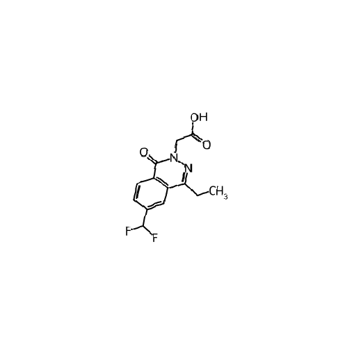 CCc1nn(CC(=O)O)c(=O)c2ccc(C(F)F)cc12